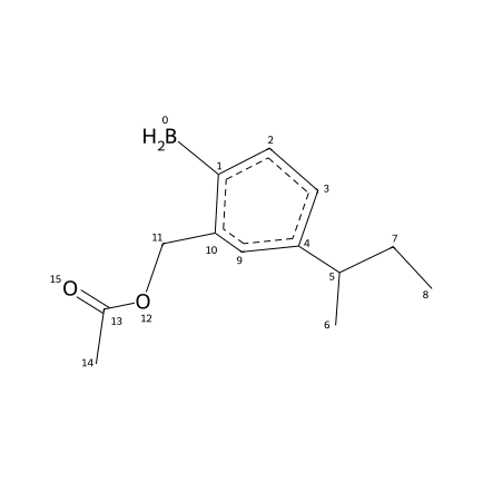 Bc1ccc(C(C)CC)cc1COC(C)=O